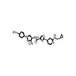 CC(C)c1ccc(-n2cc(NC(=O)c3coc(-c4ccnc(NCC5CC5)c4)n3)c(C#N)n2)cc1